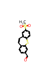 CS(=O)(=O)c1ccc2c(c1)C=Cc1ccc(C=O)cc1S2